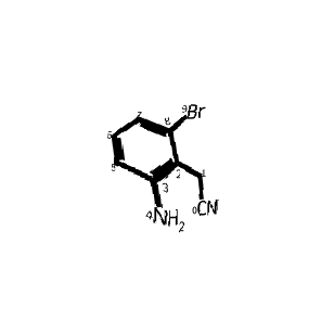 N#CCc1c(N)cccc1Br